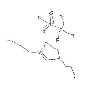 CCC[N+]1=CC(CC)CC1.O=S(=O)([O-])C(F)(F)F